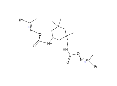 C/C(=N\OC(=O)NCC1(C)CC(NC(=O)O/N=C(\C)C(C)C)CC(C)(C)C1)C(C)C